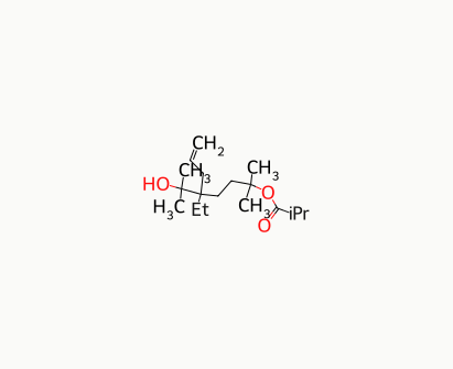 C=CCC(CC)(CCC(C)(C)OC(=O)C(C)C)C(C)(C)O